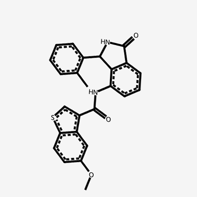 COc1ccc2scc(C(=O)Nc3cccc4c3C(c3ccccc3C)NC4=O)c2c1